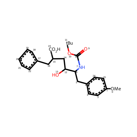 COc1ccc(CC(NC(=O)OC(C)(C)C)C(O)CC(Cc2ccccc2)C(=O)O)cc1